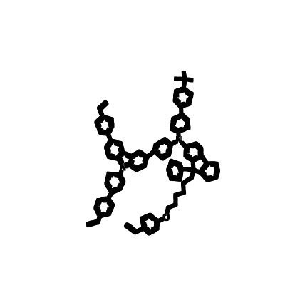 C=Cc1ccc(OCCCCCCC2(c3ccccc3)c3ccccc3-c3ccc(N(c4ccc(-c5ccc(C(C)(C)C)cc5)cc4)c4ccc(-c5ccc6c(c5)c5cc(-c7ccc(C=C)cc7)ccc5n6-c5ccc(-c6ccc(C=C)cc6)cc5)cc4)cc32)cc1